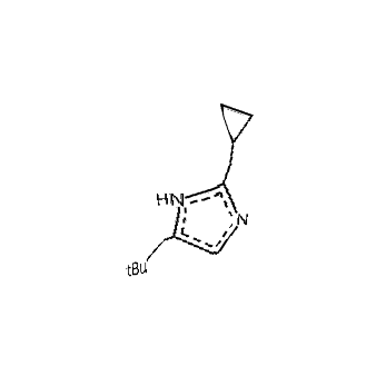 CC(C)(C)c1cnc(C2CC2)[nH]1